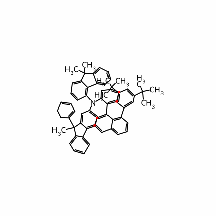 CC(C)(C)c1cc(-c2cccc3cccc(-c4ccccc4N(c4ccc5c(c4)C(C)(C4=CC=CCC4)c4ccccc4-5)c4cccc5c4-c4ccccc4C5(C)C)c23)cc(C(C)(C)C)c1